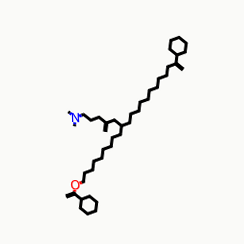 C=C(CCCN(C)C)CC(CCCCCCCCCCC(=C)C1CCCCC1)CCCCCCCCCOC(=C)C1CCCCC1